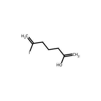 C=C(O)CCCC(=C)I